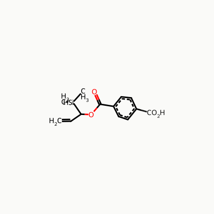 C=CC(OC(=O)c1ccc(C(=O)O)cc1)[SiH](C)C